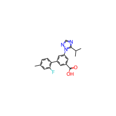 Cc1ccc(-c2cc(C(=O)O)cc(-n3ncnc3C(C)C)c2)c(F)c1